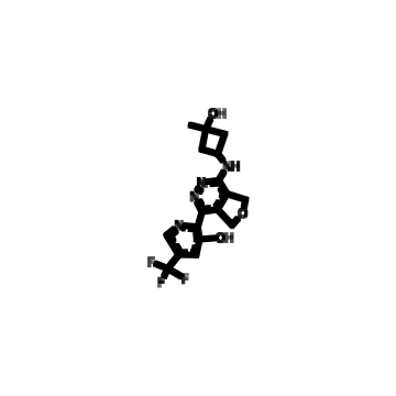 CC1(O)CC(Nc2nnc(-c3ncc(C(F)(F)F)cc3O)c3c2COC3)C1